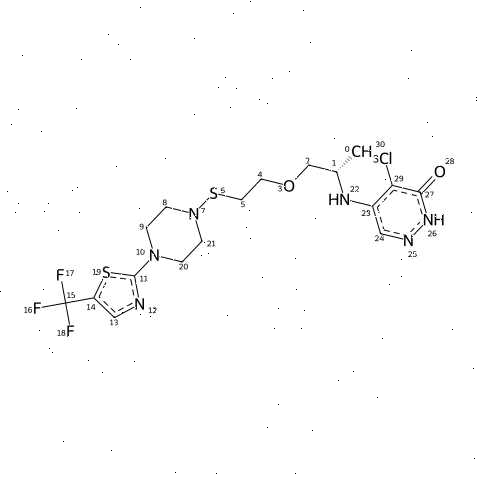 C[C@@H](COCCSN1CCN(c2ncc(C(F)(F)F)s2)CC1)Nc1cn[nH]c(=O)c1Cl